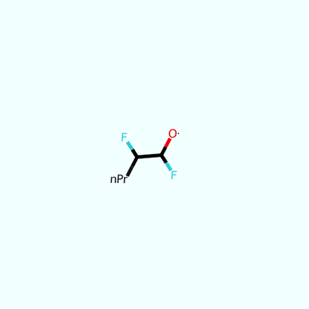 CCCC(F)C([O])F